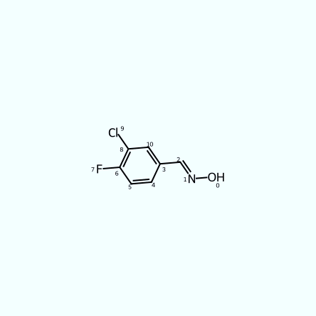 ON=Cc1ccc(F)c(Cl)c1